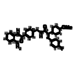 COc1ccc(/C(=C\c2ccc(F)cc2)C(=O)NCc2ccc(C(=O)Nc3ccccc3N)cc2)cc1